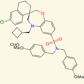 COc1ccc(CN(Cc2ccc(OC)cc2)S(=O)(=O)c2ccc3c(c2)N(C[C@@H]2CC[C@H]2C=O)C[C@@]2(CCCc4cc(Cl)ccc42)CO3)cc1